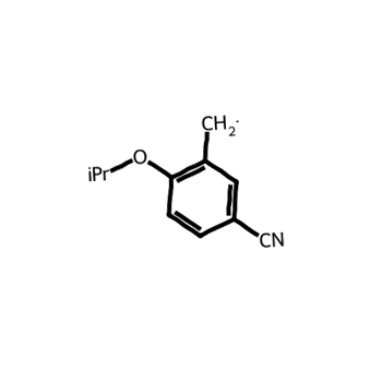 [CH2]c1cc(C#N)ccc1OC(C)C